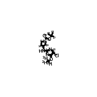 [2H]C([2H])([2H])Oc1nc(NC2CCN(C(=O)OC(C)(C)C)C2)ncc1Cl